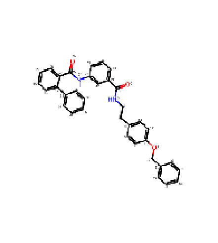 O=C(NCCc1ccc(OCc2ccccc2)cc1)c1cccc(NC(=O)c2ccccc2-c2ccccc2)c1